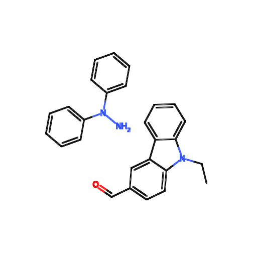 CCn1c2ccccc2c2cc(C=O)ccc21.NN(c1ccccc1)c1ccccc1